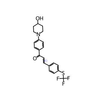 O=C(/C=C/c1ccc(SC(F)(F)F)cc1)c1ccc(N2CCC(O)CC2)cc1